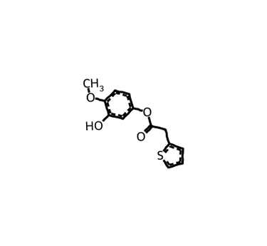 COc1ccc(OC(=O)Cc2cccs2)cc1O